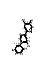 Cc1cnc(-c2ccc(-c3ccccc3)c(C)c2)cc1C